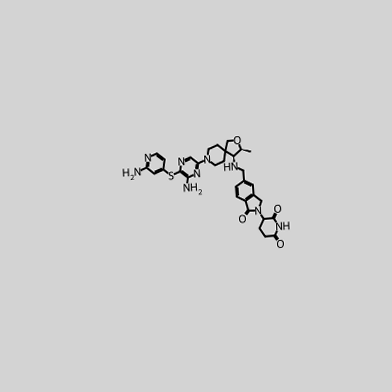 C[C@@H]1OCC2(CCN(c3cnc(Sc4ccnc(N)c4)c(N)n3)CC2)[C@@H]1NCc1ccc2c(c1)CN(C1CCC(=O)NC1=O)C2=O